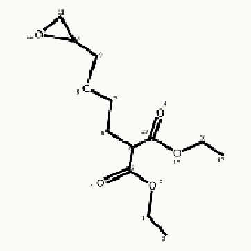 CCOC(=O)C(CCOCC1CO1)C(=O)OCC